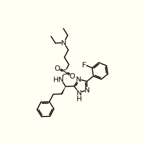 CCN(CC)CCCS(=O)(=O)N[C@H](CCc1ccccc1)c1nc(-c2ccccc2F)n[nH]1